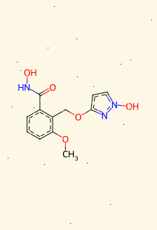 COc1cccc(C(=O)NO)c1COc1ccn(O)n1